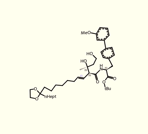 CCCCCCCC1(CCCCCC/C=C/[C@H](C(=O)N[C@@H](Cc2ccc(-c3cccc(OC)c3)cc2)C(=O)OC(C)(C)C)[C@@](C)(O)CCO)OCCO1